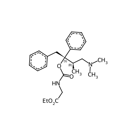 CCOC(=O)CNC(=O)O[C@](Cc1ccccc1)(c1ccccc1)[C@H](C)CN(C)C